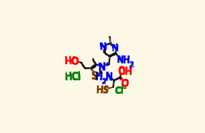 Cc1ncc(C[n+]2csc(CCO)c2C)c(N)n1.Cl.NC(CS)C(=O)O.[Cl-]